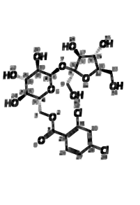 O=C(OC[C@H]1O[C@H](O[C@]2(CO)O[C@H](CO)[C@@H](O)[C@@H]2O)[C@H](O)[C@@H](O)[C@@H]1O)c1ccc(Cl)cc1Cl